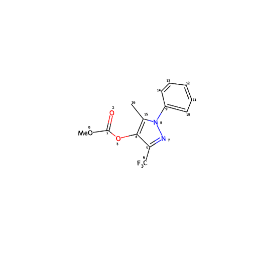 COC(=O)Oc1c(C(F)(F)F)nn(-c2ccccc2)c1C